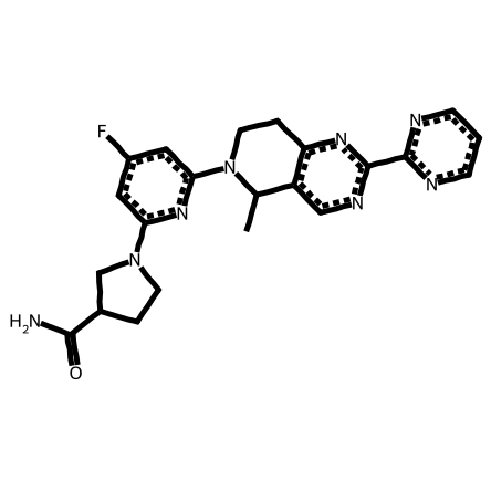 CC1c2cnc(-c3ncccn3)nc2CCN1c1cc(F)cc(N2CCC(C(N)=O)C2)n1